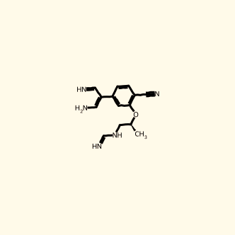 C[C@@H](CNC=N)Oc1cc(/C(C=N)=C/N)ccc1C#N